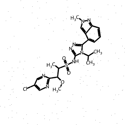 COC(c1ncc(Cl)cn1)C(C)S(=O)(=O)Nc1nnc(-c2cccc3nn(C)cc23)n1C(C)C